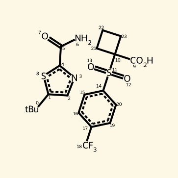 CC(C)(C)c1cnc(C(N)=O)s1.O=C(O)C1(S(=O)(=O)c2ccc(C(F)(F)F)cc2)CCC1